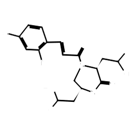 CC(C)C[C@H]1CN(C(=O)C=Cc2ccc(Cl)cc2F)[C@@H](CC(C)C)C(=O)N1